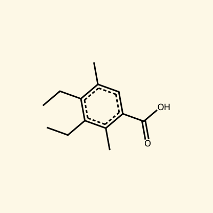 CCc1c(C)cc(C(=O)O)c(C)c1CC